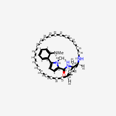 CNc1ccccc1-c1ccc(C(=O)N[C@@H]2C[C@@H]3CCCCCCCCCCCCCCCCCCCCN[C@H]2CC3)n1C